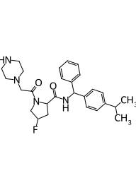 CC(C)c1ccc(C(NC(=O)C2CC(F)CN2C(=O)CN2CCNCC2)c2ccccc2)cc1